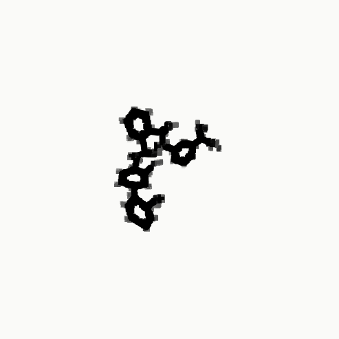 N=C(N)c1cccc(NC(=O)c2ccccc2C(=O)Nc2ccc(-c3ccccc3S)cc2F)c1